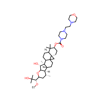 CCO[C@@H](C1C[C@@H](C)[C@H]2C(O1)[C@H](O)[C@@]1(C)C3CC[C@H]4C(C)(C)[C@@H](OC(=O)N5CCN(CCN6CCOCC6)CC5)CC[C@@]45CC35CC[C@]21C)C(C)(C)O